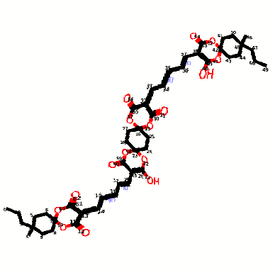 CCCC1(C)CCC2(CC1)OC(=O)C(=C/C=C/C=C/C1=C(O)OC3(CCC4(CC3)OC(=O)C(=C/C=C/C=C/C3=C(O)OC5(CCC(C)(CCC)CC5)OC3=O)C(=O)O4)OC1=O)C(=O)O2